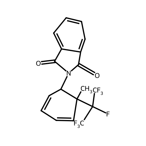 CC1(C(F)(C(F)(F)F)C(F)(F)F)C=CC=CC1N1C(=O)c2ccccc2C1=O